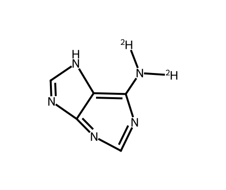 [2H]N([2H])c1ncnc2nc[nH]c12